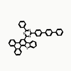 c1ccc(-c2ccc(-c3ccc(-c4nc(-c5ccccc5)nc(-c5cc6c7ccccc7c7ccccc7c6c6sc7ccccc7c56)n4)cc3)cc2)cc1